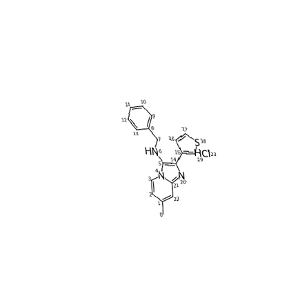 Cc1ccn2c(NCc3ccccc3)c(-c3ccsc3)nc2c1.Cl